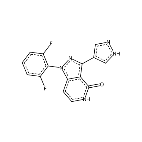 O=c1[nH]ccc2c1c(-c1cn[nH]c1)nn2-c1c(F)cccc1F